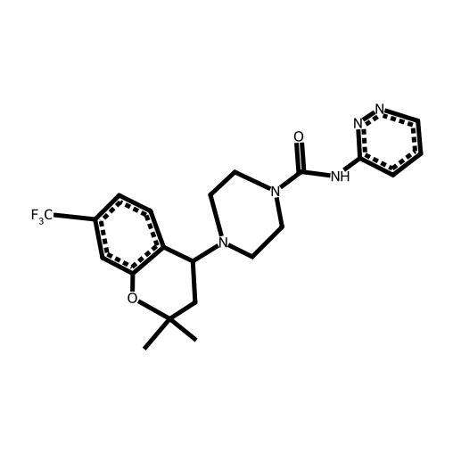 CC1(C)CC(N2CCN(C(=O)Nc3cccnn3)CC2)c2ccc(C(F)(F)F)cc2O1